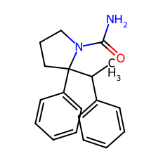 CC(c1ccccc1)C1(c2ccccc2)CCCN1C(N)=O